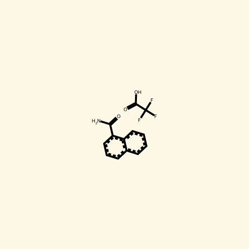 NC(=O)c1cccc2ccccc12.O=C(O)C(F)(F)F